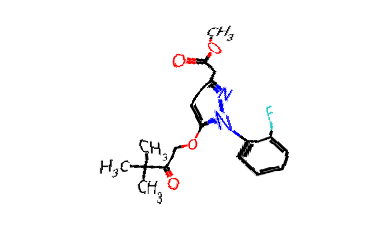 COC(=O)c1cc(OCC(=O)C(C)(C)C)n(-c2ccccc2F)n1